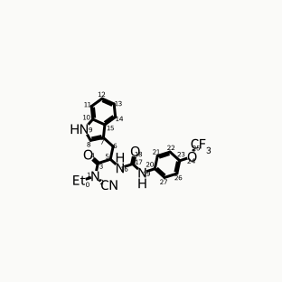 CCN(C#N)C(=O)C(Cc1c[nH]c2ccccc12)NC(=O)Nc1ccc(OC(F)(F)F)cc1